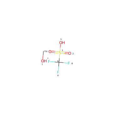 CO.O=S(=O)(O)C(F)(F)F